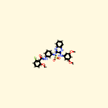 COc1cc(Nc2nc3ccccc3nc2N(c2cccc(NC(=O)c3c(F)cccc3OC)c2)[SH](=O)=O)cc(OC)c1